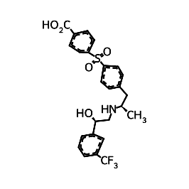 C[C@H](Cc1ccc(S(=O)(=O)c2ccc(C(=O)O)cc2)cc1)NC[C@H](O)c1cccc(C(F)(F)F)c1